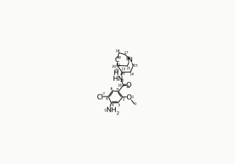 COc1cc(N)c(Cl)cc1C(=O)N[C@@H]1CC[N@]2CCC[C@H]1C2